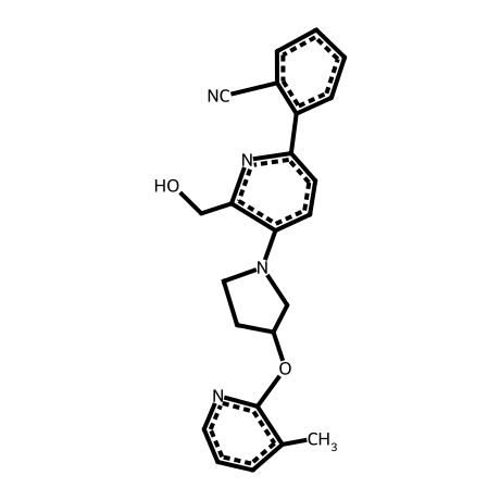 Cc1cccnc1OC1CCN(c2ccc(-c3ccccc3C#N)nc2CO)C1